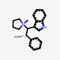 CC(=O)N[C@@H](c1ccccc1)C(c1c[nH]c2ccccc12)[N+]1(C)CCCC1